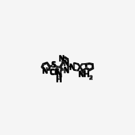 N[C@@H]1c2ccccc2CC12CCN(c1nc3[nH]cc(Sc4cccnc4C(F)(F)F)c3c3nccn13)CC2